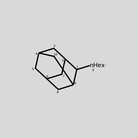 CCCCC[CH]C1C2CC3CC(C2)CC1C3